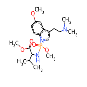 COC(=O)C(NP(=O)(OC)n1cc(CCN(C)C)c2cc(OC)ccc21)C(C)C